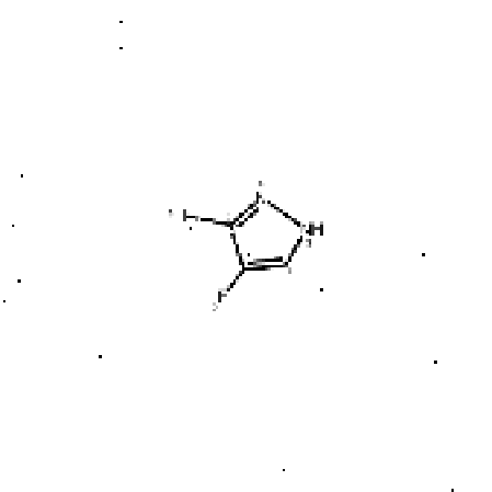 Fc1c[nH]nc1I